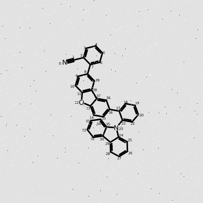 N#Cc1ccccc1-c1ccc2oc3ccc(-c4ccccc4-n4c5ccccc5c5ccccc54)cc3c2c1